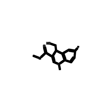 COC(=O)C1=CN(C)c2ccc(F)cc2C1CO